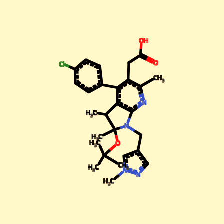 Cc1nc2c(c(-c3ccc(Cl)cc3)c1CC(=O)O)C(C)C(C)(OC(C)(C)C)N2Cc1cnn(C)c1